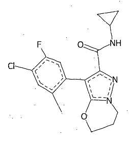 Cc1cc(Cl)c(F)cc1-c1c(C(=O)NC2CC2)nn2c1OCCC2